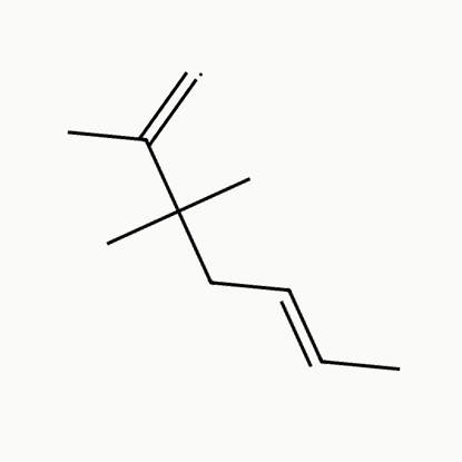 [CH]=C(C)C(C)(C)CC=CC